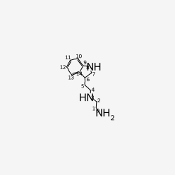 NCCNCCC1CNc2ccccc21